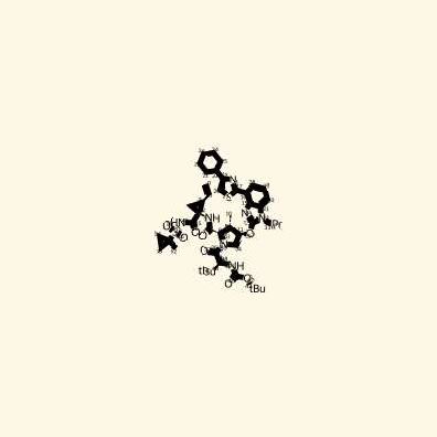 C=C[C@@H]1C[C@]1(NC(=O)[C@@H]1[C@H](C)[C@@H](Oc2nc3c(-c4nc(C5CCCCC5)cs4)cccc3n2C(C)C)CN1C(=O)[C@@H](NC(=O)OC(C)(C)C)C(C)(C)C)C(=O)NS(=O)(=O)C1(C)CC1